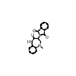 CN1CC(N2C(=O)c3ccccc3C2=O)C(=O)Nc2ccccc21